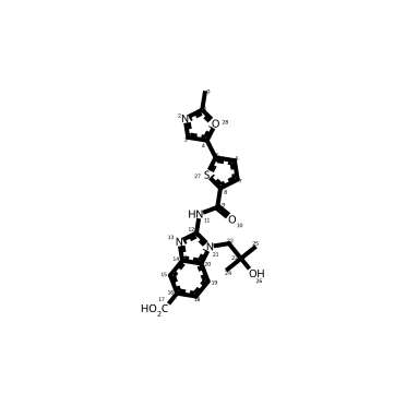 Cc1ncc(-c2ccc(C(=O)Nc3nc4cc(C(=O)O)ccc4n3CC(C)(C)O)s2)o1